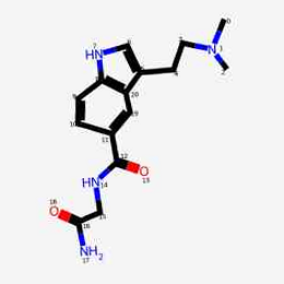 CN(C)CCc1c[nH]c2ccc(C(=O)NCC(N)=O)cc12